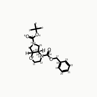 CC(C)(C)OC(=O)N1C[C@H]2OCCN(C(=O)OCc3ccccc3)[C@H]2C1